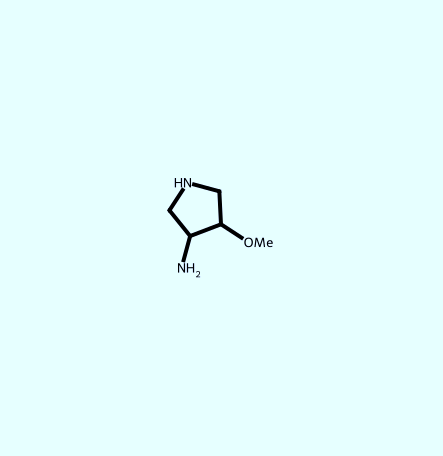 COC1CNCC1N